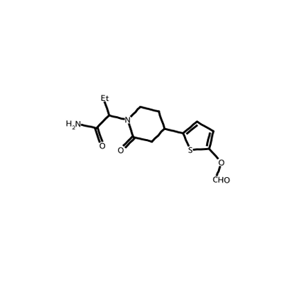 CCC(C(N)=O)N1CCC(c2ccc(OC=O)s2)CC1=O